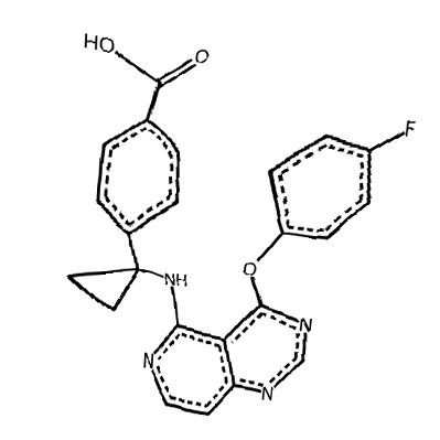 O=C(O)c1ccc(C2(Nc3nccc4ncnc(Oc5ccc(F)cc5)c34)CC2)cc1